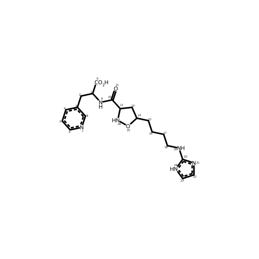 O=C(O)C(Cc1cccnc1)NC(=O)C1CC(CCCCNc2ncc[nH]2)ON1